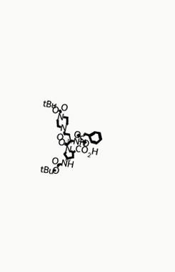 CC(C)(C)OC(=O)N[C@H]1CC(C(=O)O)N(C(=O)[C@@H](CC(=O)N2CCN(C(=O)OC(C)(C)C)CC2)NS(=O)(=O)Cc2ccccc2)C1